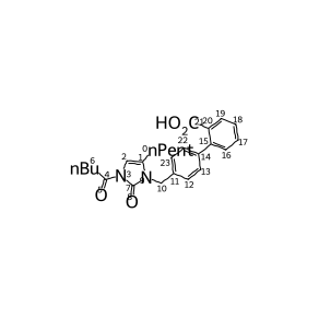 CCCCCc1cn(C(=O)CCCC)c(=O)n1Cc1ccc(-c2ccccc2C(=O)O)cc1